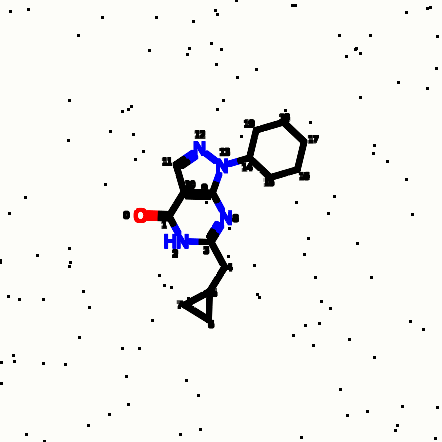 O=c1[nH]c(CC2CC2)nc2c1cnn2C1CCCCC1